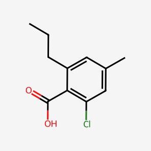 CCCc1cc(C)cc(Cl)c1C(=O)O